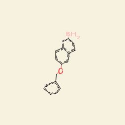 Bc1ccc2cc(OCc3ccccc3)ccc2c1